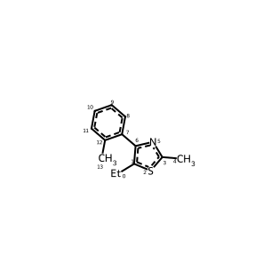 [CH2]Cc1sc(C)nc1-c1ccccc1C